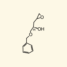 O[C@@H](COCc1ccccc1)CC1CO1